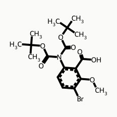 COc1c(Br)ccc(N(C(=O)OC(C)(C)C)C(=O)OC(C)(C)C)c1C(=O)O